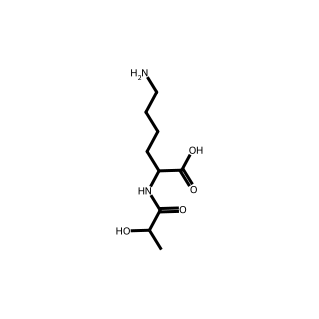 CC(O)C(=O)NC(CCCCN)C(=O)O